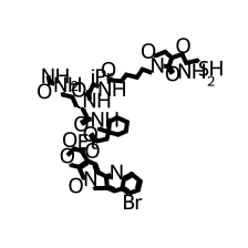 CC[C@@]1(OC(=O)CC2(CNC(=O)[C@@H](CCCNC(N)=O)NC(=O)[C@@H](NC(=O)CCCCCN3C(=O)CC(C(=O)[C@@H](N)CS)C3=O)C(C)C)CCCCC2)C(=O)OCc2c1cc1n(c2=O)Cc2cc3c(Br)cccc3nc2-1